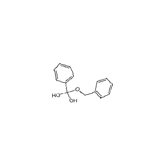 OC(O)(OCc1ccccc1)c1ccccc1